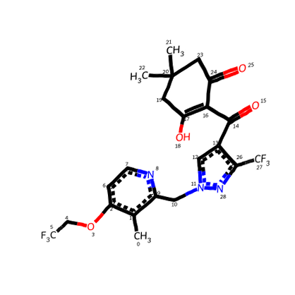 Cc1c(OCC(F)(F)F)ccnc1Cn1cc(C(=O)C2=C(O)CC(C)(C)CC2=O)c(C(F)(F)F)n1